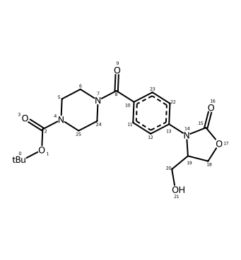 CC(C)(C)OC(=O)N1CCN(C(=O)c2ccc(N3C(=O)OCC3CO)cc2)CC1